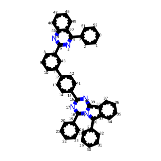 c1ccc(-c2nc(-c3cccc(-c4ccc(-c5nc(-c6ccccc6)n6c(-c7ccccc7)c7ccccc7c6n5)cc4)c3)nc3ccccc23)cc1